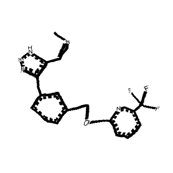 C/N=C\c1[nH]nnc1-c1cccc(COc2cccc(C(F)(F)F)n2)c1